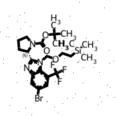 CC(C)(C)OC(=O)N1CCC[C@H]1c1nc2cc(Br)cc(C(F)(F)F)c2n1COCC[Si](C)(C)C